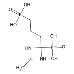 CC1NC(CCCP(=O)(O)O)(P(=O)(O)O)N1